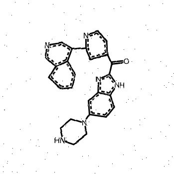 O=C(c1ccnc(-c2cncc3ccccc23)c1)c1nc2cc(N3CCNCC3)ccc2[nH]1